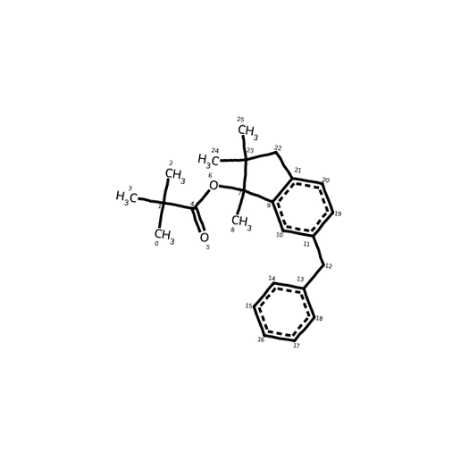 CC(C)(C)C(=O)OC1(C)c2cc(Cc3ccccc3)ccc2CC1(C)C